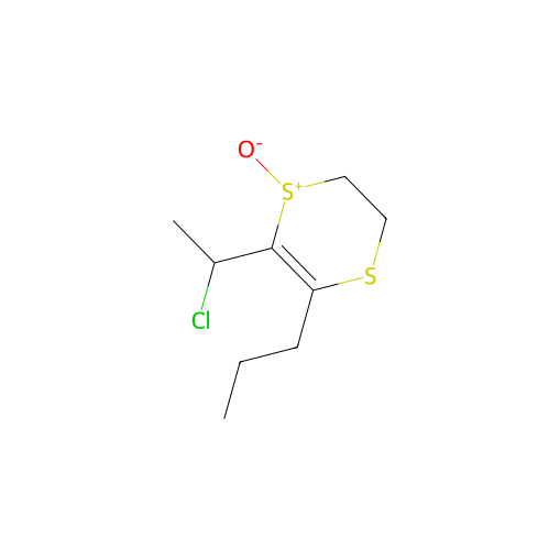 CCCC1=C(C(C)Cl)[S+]([O-])CCS1